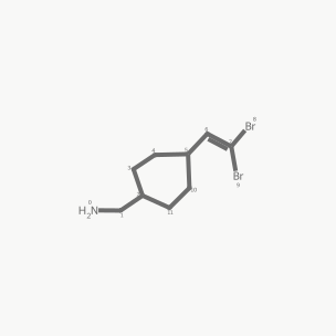 NCC1CCC(C=C(Br)Br)CC1